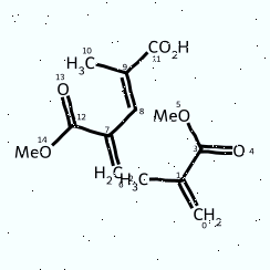 C=C(C)C(=O)OC.C=C(C=C(C)C(=O)O)C(=O)OC